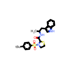 CC(Cc1c[nH]c2ccccc12)NC(=O)C1SCCN1S(=O)(=O)c1ccc(C(C)(C)C)cc1